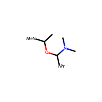 CCCC(OC(C)NC)N(C)C